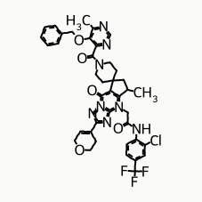 Cc1ncnc(C(=O)N2CCC3(CC2)CC(C)c2c3c(=O)n3nc(C4=CCOCC4)nc3n2CC(=O)Nc2ccc(C(F)(F)F)cc2Cl)c1OCc1ccccc1